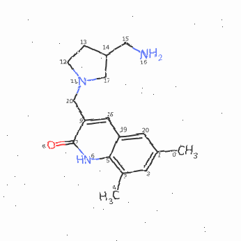 Cc1cc(C)c2[nH]c(=O)c(CN3CCC(CN)C3)cc2c1